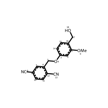 COc1cc(OCc2cc(C#N)ccc2C#N)ccc1CO